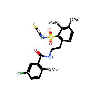 CNc1c(OC)ccc(CCNC(=O)c2cc(Cl)ccc2OC)c1S(=O)(=O)N=C=S